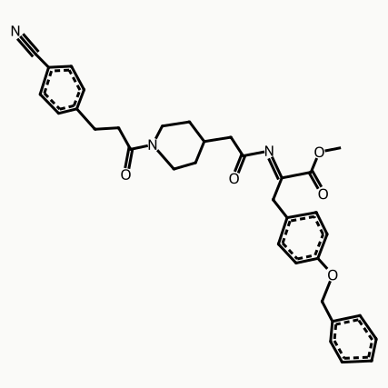 COC(=O)/C(Cc1ccc(OCc2ccccc2)cc1)=N/C(=O)CC1CCN(C(=O)CCc2ccc(C#N)cc2)CC1